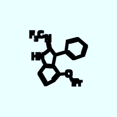 CC(C)Oc1cccc2c1C(c1ccccc1)C(=NC(F)(F)F)N2